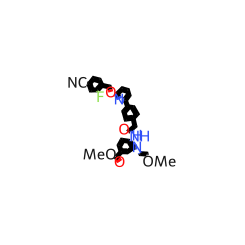 COCCNc1cc(C(=O)OC)ccc1NC(=O)Cc1ccc(-c2cccc(OCc3ccc(C#N)cc3F)n2)cc1